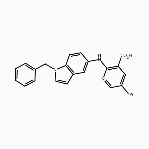 CC(C)c1cnc(Nc2ccc3c(ccn3Cc3ccccc3)c2)c(C(=O)O)c1